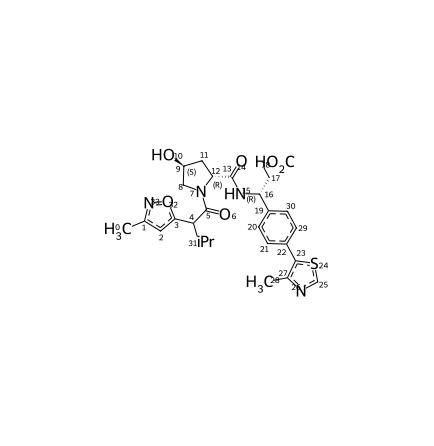 Cc1cc(C(C(=O)N2C[C@@H](O)C[C@@H]2C(=O)N[C@H](CC(=O)O)c2ccc(-c3scnc3C)cc2)C(C)C)on1